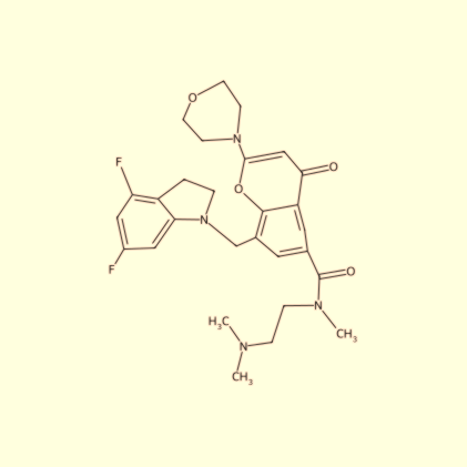 CN(C)CCN(C)C(=O)c1cc(CN2CCc3c(F)cc(F)cc32)c2oc(N3CCOCC3)cc(=O)c2c1